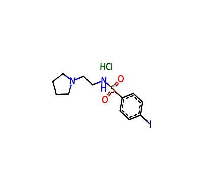 Cl.O=S(=O)(NCCN1CCCC1)c1ccc(I)cc1